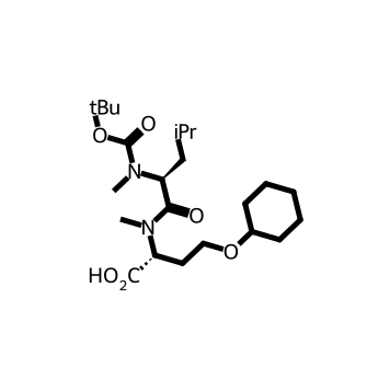 CC(C)C[C@@H](C(=O)N(C)[C@H](CCOC1CCCCC1)C(=O)O)N(C)C(=O)OC(C)(C)C